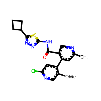 COc1cnc(Cl)cc1-c1cc(C)ncc1C(=O)Nc1nnc(C2CCC2)s1